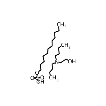 CCCCCCCCCCCCOS(=O)(=O)O.CCCCN(CCO)CCCC